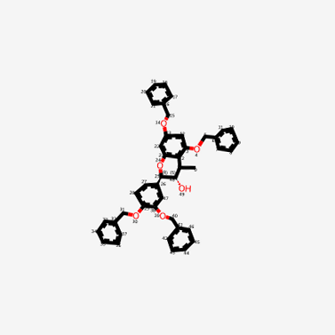 CC1c2c(OCc3ccccc3)cc(OCc3ccccc3)cc2O[C@H](c2ccc(OCc3ccccc3)c(OCc3ccccc3)c2)[C@H]1O